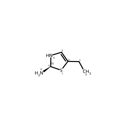 CCC1=CN[C@H](N)S1